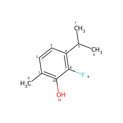 Cc1ccc(C(C)C)c(F)c1O